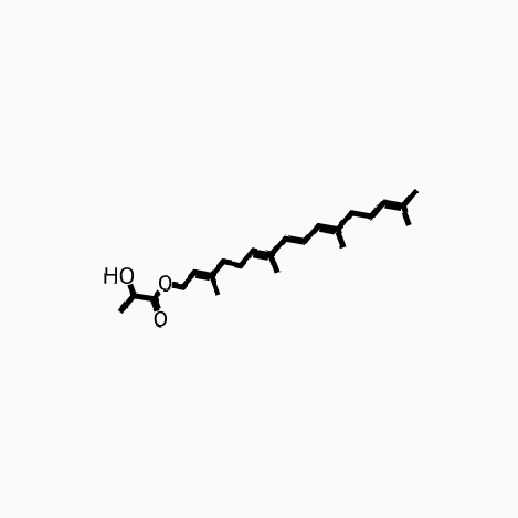 CC(C)=CCC/C(C)=C/CC/C(C)=C/CC/C(C)=C/COC(=O)C(C)O